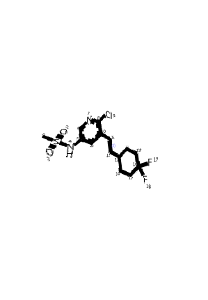 CS(=O)(=O)Nc1cnc(Cl)c(/C=C/C2CCC(F)(F)CC2)c1